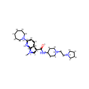 Cn1cc(C(=O)NC2CCN(CCN3CCCC3)CC2)c2ccc(N3CCCCCC3)nc21